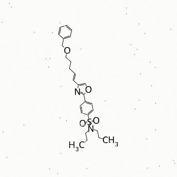 CCCN(CCC)S(=O)(=O)c1ccc(-c2nc(C=CCCCOCc3ccccc3)co2)cc1